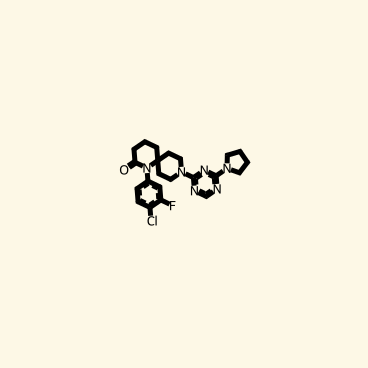 O=C1CCCC2(CCN(c3ncnc(N4CCCC4)n3)CC2)N1c1ccc(Cl)c(F)c1